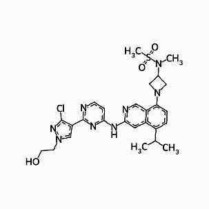 CC(C)c1ccc(N2CC(N(C)S(C)(=O)=O)C2)c2cnc(Nc3ccnc(-c4cn(CCO)nc4Cl)n3)cc12